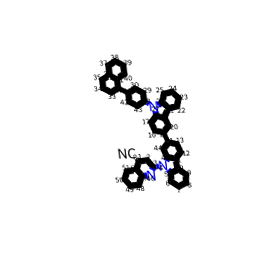 N#Cc1cc(-n2c3ccccc3c3ccc(-c4ccc5c(c4)c4ccccc4n5-c4ccc(-c5cccc6ccccc56)cc4)cc32)nc2ccccc12